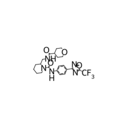 O=C(NCC1CCCCN1C(=O)Nc1ccc(-c2noc(C(F)(F)F)n2)cc1)C1CCOCC1